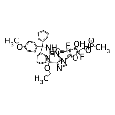 C#C[C@]1(F)[C@H](n2cnc3c(OCC)nc(NC(c4ccccc4)(c4ccccc4)c4ccc(OC)cc4)nc32)O[C@](F)(CO[PH](C)=O)[C@H]1O